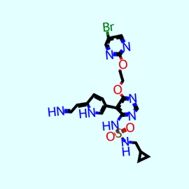 N=C/C=C1/C=CC(c2c(NS(=O)(=O)NCC3CC3)ncnc2OCCOc2ncc(Br)cn2)=CN1